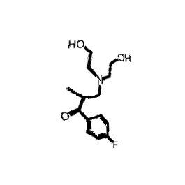 CC(CN(CCO)CCO)C(=O)c1ccc(F)cc1